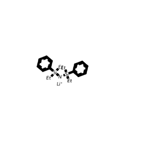 CC[Si](CC)([N-][Si](CC)(CC)c1ccccc1)c1ccccc1.[Li+]